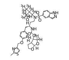 [2H]C([2H])([2H])C([2H])(C([2H])([2H])[2H])C([2H])([2H])N(C[C@@H](O)[C@H](Cc1ccc(OCc2csc(C)n2)cc1)NC(=O)O[C@]1([2H])[C@@H]2CCO[C@@H]2OC1([2H])[2H])S(=O)(=O)c1ccc2[nH]ncc2c1